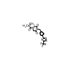 CN(C)C(=O)N1CC(=O)N(Cc2ccc(-c3noc(C(F)(F)F)n3)cc2)C(=O)C1